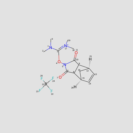 CN(C)C(ON1C(=O)C2C(C1=O)[C@H]1C=C[C@@H]2C1)=[N+](C)C.F[B-](F)(F)F